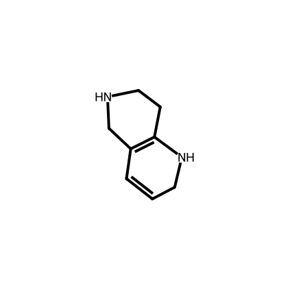 C1=CC2=C(CCNC2)NC1